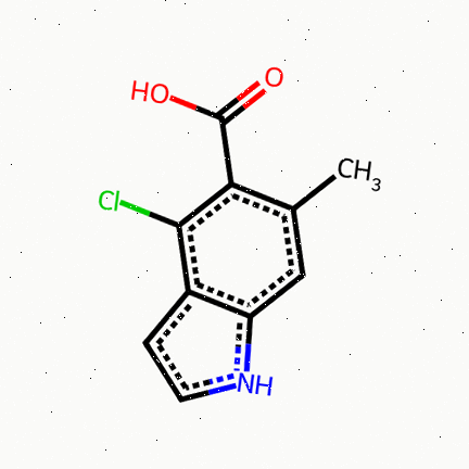 Cc1cc2[nH]ccc2c(Cl)c1C(=O)O